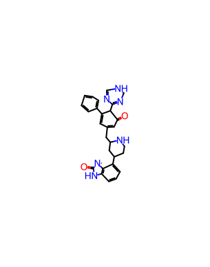 O=C1[N]c2c(cccc2C2CCNC(CC3=CC(=O)C(C4=NCNC=N4)C(c4ccccc4)=C3)C2)N1